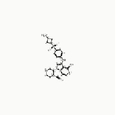 CC1CN(S(=O)(=O)c2ccc(Nc3nn([C@H]4COCC[C@@H]4C#N)c4cc[nH]c(=O)c34)cc2)C1